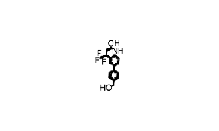 OCc1ccc(-c2ccc3c(c2)C(C(F)(F)F)C=C(O)N3)cc1